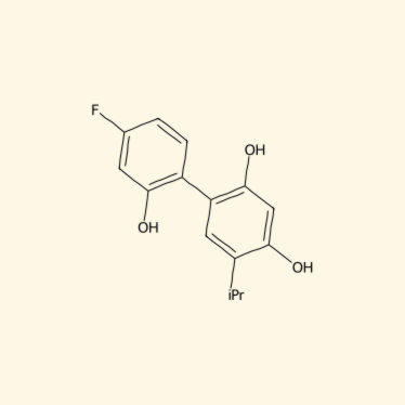 CC(C)c1cc(-c2ccc(F)cc2O)c(O)cc1O